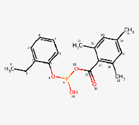 CCc1ccccc1OP(O)OC(=O)c1c(C)cc(C)cc1C